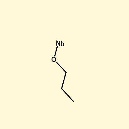 CCC[O][Nb]